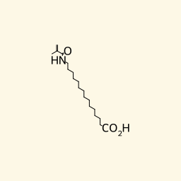 C=C(C)C(=O)NCCCCCCCCCCCCCCC(=O)O